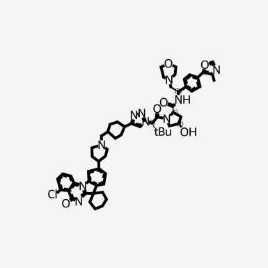 Cc1ncoc1-c1ccc([C@H](CN2CCOCC2)NC(=O)[C@@H]2C[C@@H](O)CN2C(=O)[C@@H](n2cc(C3CCC(CN4CCC(c5ccc6c(c5)-n5c(nc(=O)c7c(Cl)cccc75)C65CCCCC5)CC4)CC3)nn2)C(C)(C)C)cc1